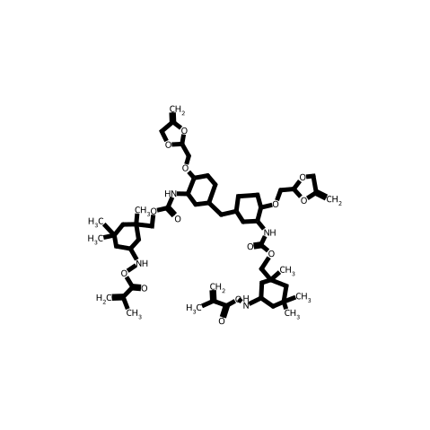 C=C1COC(COC2CCC(CC3CCC(OCC4OCC(=C)O4)C(NC(=O)OCC4(C)CC(NOC(=O)C(=C)C)CC(C)(C)C4)C3)CC2NC(=O)OCC2(C)CC(NOC(=O)C(=C)C)CC(C)(C)C2)O1